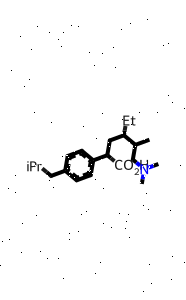 CCC(CC(C(=O)O)c1ccc(CC(C)C)cc1)C(C)CN(C)C